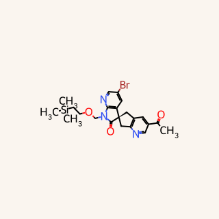 CC(=O)c1cnc2c(c1)C[C@@]1(C2)C(=O)N(COCC[Si](C)(C)C)c2ncc(Br)cc21